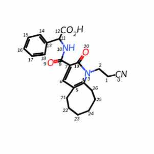 N#CCCn1c2c(cc(C(=O)NC(C(=O)O)c3ccccc3)c1=O)CCCCCC2